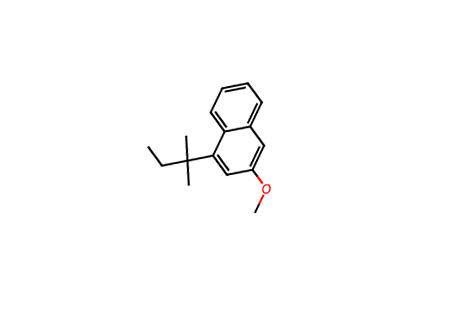 CCC(C)(C)c1cc(OC)cc2ccccc12